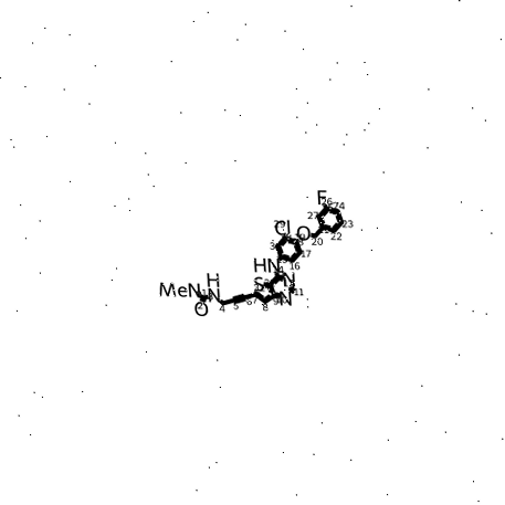 CNC(=O)NCC#Cc1cc2ncnc(Nc3ccc(OCc4cccc(F)c4)c(Cl)c3)c2s1